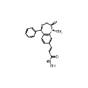 CN1C(=O)CN=C(c2ccccc2)c2ccc(C=CC(=O)NO)cc21